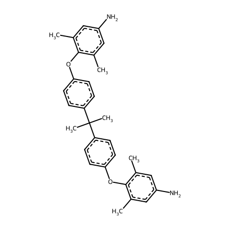 Cc1cc(N)cc(C)c1Oc1ccc(C(C)(C)c2ccc(Oc3c(C)cc(N)cc3C)cc2)cc1